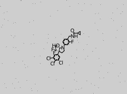 O=C(NCc1ccc(N2CC[C@](c3cc(Cl)c(Cl)c(Cl)c3)(C(F)(F)F)[C@H]2O)cc1F)C1CC1